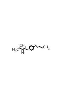 CCCCCc1ccc(CCNC(C)C)cc1